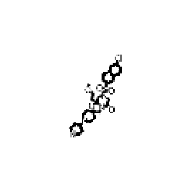 COCCC12CN(S(=O)(=O)c3ccc4cc(Cl)ccc4c3)CC(=O)N1CC1(CCN(c3ccncc3)CC1)O2